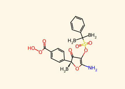 BC(B)(c1ccccc1)S(=O)(=O)OC1=C(N)O[C@](B)(c2ccc(C(=O)OO)cc2)C1=O